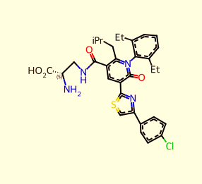 CCc1cccc(CC)c1-n1c(CC(C)C)c(C(=O)NC[C@H](N)C(=O)O)cc(-c2nc(-c3ccc(Cl)cc3)cs2)c1=O